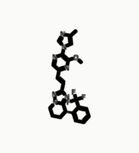 COc1nc(/C=C/c2nc3n(n2)CCC[C@@H]3c2ccccc2C(F)(F)F)cnc1-n1cnc(C)c1